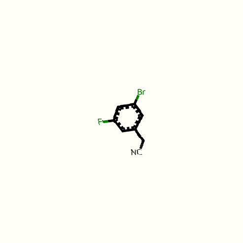 N#CCc1cc(F)cc(Br)c1